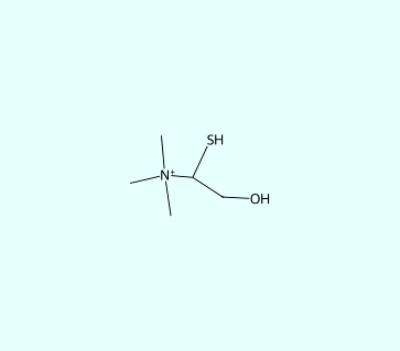 C[N+](C)(C)C(S)CO